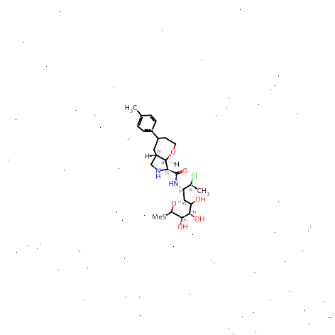 CSC1O[C@H]([C@H](NC(=O)[C@H]2NC[C@@H]3CC(c4ccc(C)cc4)CCO[C@H]32)[C@H](C)Cl)C(O)[C@@H](O)[C@H]1O